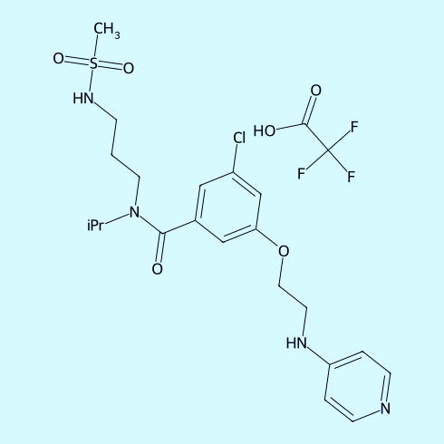 CC(C)N(CCCNS(C)(=O)=O)C(=O)c1cc(Cl)cc(OCCNc2ccncc2)c1.O=C(O)C(F)(F)F